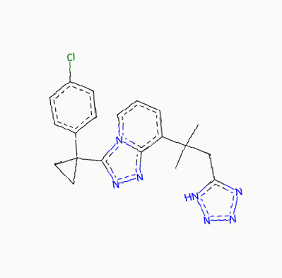 CC(C)(Cc1nnn[nH]1)c1cccn2c(C3(c4ccc(Cl)cc4)CC3)nnc12